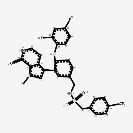 Cn1cc(-c2cc(CNS(=O)(=O)Cc3ccc(C(F)(F)F)cc3)ccc2Oc2ccc(F)cc2F)c2cc[nH]c(=O)c21